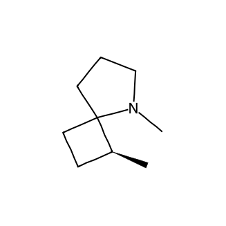 C[C@H]1CCC12CCCN2C